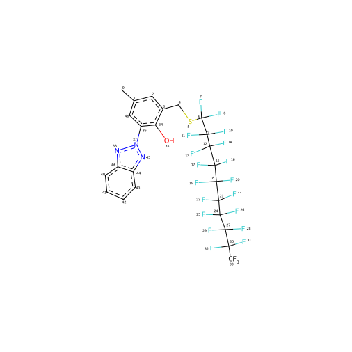 Cc1cc(CSC(F)(F)C(F)(F)C(F)(F)C(F)(F)C(F)(F)C(F)(F)C(F)(F)C(F)(F)C(F)(F)C(F)(F)F)c(O)c(-n2nc3ccccc3n2)c1